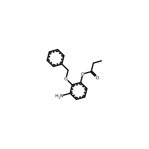 CCC(=O)Oc1cccc(N)c1OCc1ccccc1